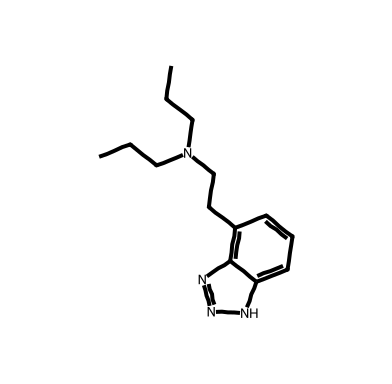 CCCN(CCC)CCc1cccc2[nH]nnc12